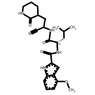 COc1cccc2[nH]c(C(=O)N[C@@H](CC(C)C)C(=O)NC(C#N)CC3CCCNC3=O)cc12